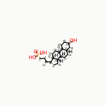 C[C@H](CC[P+]([O-])(O)O)[C@H]1CC[C@H]2[C@@H]3CC[C@@H]4C[C@H](O)CC[C@]4(C)[C@H]3CC[C@]12C